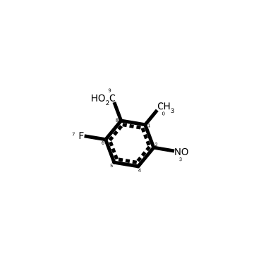 Cc1c(N=O)ccc(F)c1C(=O)O